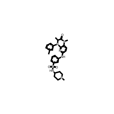 Cc1cccc(N2c3nc(Nc4cccc(S(=O)(=O)NC5CCN(C)CC5)c4)ccc3N(C)C(=O)C2C)c1